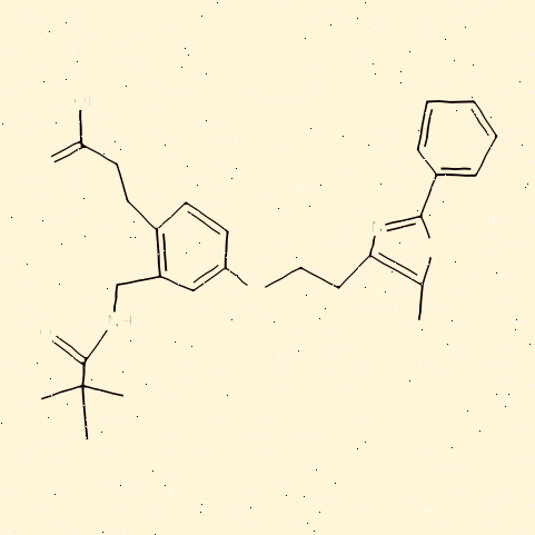 Cc1oc(-c2ccccc2)nc1CCOc1ccc(CCC(=O)O)c(CNC(=O)C(C)(C)C)c1